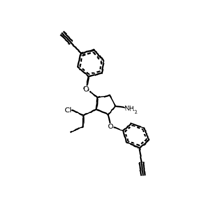 C#Cc1cccc(OC2CC(N)C(Oc3cccc(C#C)c3)C2C(Cl)CC)c1